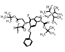 CC(C)[Si](OC[C@H]1Cc2c(cc(OCc3ccccc3)c(N(CC(=O)OC(C)(C)C)C(=O)C(F)(F)F)c2F)N1C(=O)OC(C)(C)C)(C(C)C)C(C)C